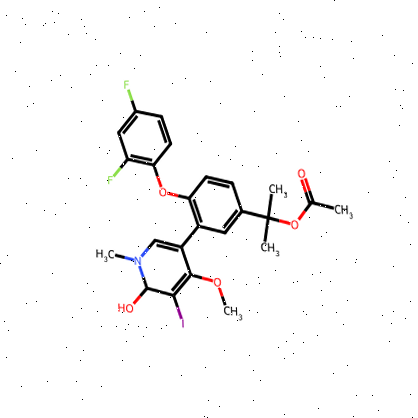 COC1=C(I)C(O)N(C)C=C1c1cc(C(C)(C)OC(C)=O)ccc1Oc1ccc(F)cc1F